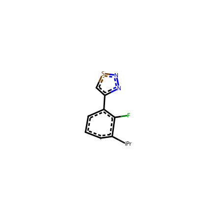 CC(C)c1[c]ccc(-c2csnn2)c1F